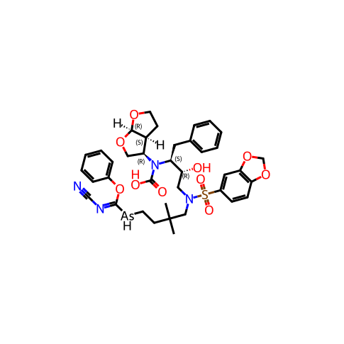 CC(C)(CC[AsH]C(=NC#N)Oc1ccccc1)CN(C[C@@H](O)[C@H](Cc1ccccc1)N(C(=O)O)[C@H]1CO[C@H]2OCC[C@H]21)S(=O)(=O)c1ccc2c(c1)OCO2